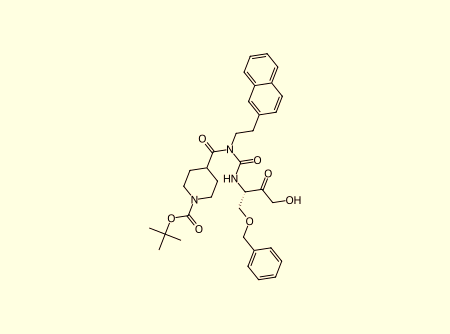 CC(C)(C)OC(=O)N1CCC(C(=O)N(CCc2ccc3ccccc3c2)C(=O)N[C@@H](COCc2ccccc2)C(=O)CO)CC1